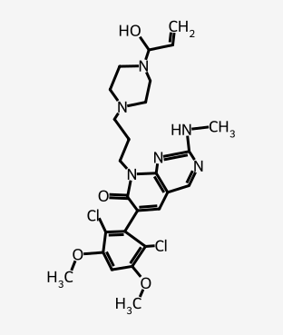 C=CC(O)N1CCN(CCCn2c(=O)c(-c3c(Cl)c(OC)cc(OC)c3Cl)cc3cnc(NC)nc32)CC1